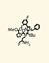 COC(=O)C1CCCN1C(=O)N(CCC(N)CF)[C@@H](c1nc(-c2cc(F)ccc2F)cn1Cc1ccccc1)C(C)(C)C